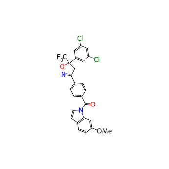 COc1ccc2ccn(C(=O)c3ccc(C4=NOC(c5cc(Cl)cc(Cl)c5)(C(F)(F)F)C4)cc3)c2c1